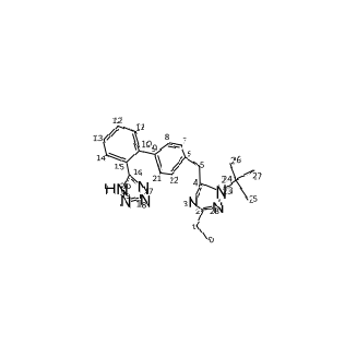 CCc1nc(Cc2ccc(-c3ccccc3-c3nnn[nH]3)cc2)n(C(C)(C)C)n1